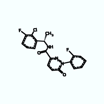 C[C@H](NC(=O)c1ccc(=O)n(-c2ccccc2F)n1)c1cccc(F)c1Cl